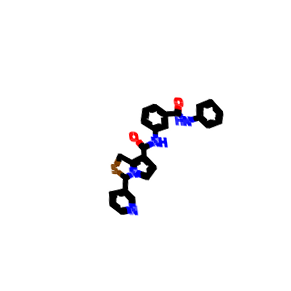 O=C(Nc1ccccc1)c1cccc(NC(=O)c2ccn3c2CSC3c2cccnc2)c1